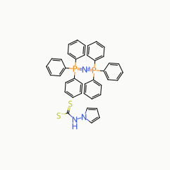 S=C([S-])Nn1cccc1.c1ccc(P(=[N+]=P(c2ccccc2)(c2ccccc2)c2ccccc2)(c2ccccc2)c2ccccc2)cc1